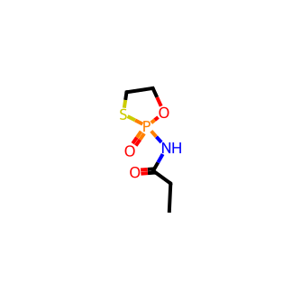 CCC(=O)NP1(=O)OCCS1